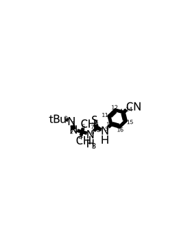 CC(C)(C)N=NC(C)(C)NC(=S)Nc1ccc(C#N)cc1